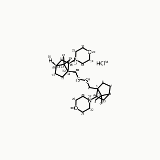 CC1(C)C2CCC1(CSSC[C@]13CC[C@H](C[C@H]1N1CCOCC1)C3(C)C)C(N1CCOCC1)C2.Cl